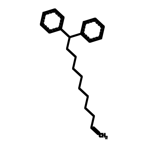 C=CCCCCCCCCC(c1ccccc1)c1ccccc1